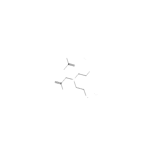 O=C([O-])C[C@@H](C(=O)[O-])N(CCO)CCO.[Na+].[Na+]